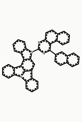 c1ccc2cc(-c3nc(-n4c5ccccc5c5c6c7ccccc7n7c8ccccc8c(cc54)c67)nc4ccc5ccccc5c34)ccc2c1